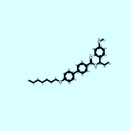 CCCCCCCOc1ccc(-c2ccc(C(=O)OC(CC)c3ccc(OC)cc3)cc2)cc1